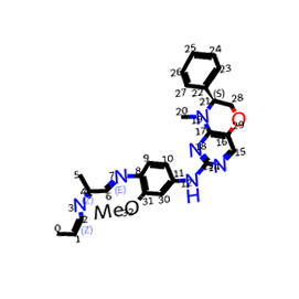 C\C=C/N=C(C)\C=N\c1ccc(Nc2ncc3c(n2)N(C)[C@@H](c2ccccc2)CO3)cc1OC